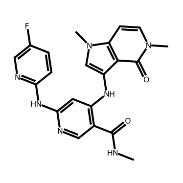 CNC(=O)c1cnc(Nc2ccc(F)cn2)cc1Nc1cn(C)c2ccn(C)c(=O)c12